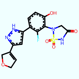 O=C1CN(c2c(O)ccc(-c3cc(C4=CCOC4)n[nH]3)c2F)S(=O)(=O)N1